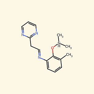 Cc1cccc(N=CCc2ncccn2)c1O[SiH](C)C